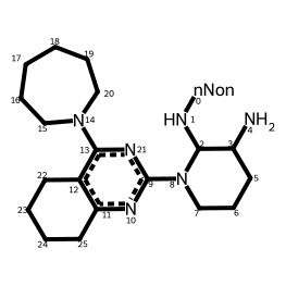 CCCCCCCCCNC1C(N)CCCN1c1nc2c(c(N3CCCCCC3)n1)CCCC2